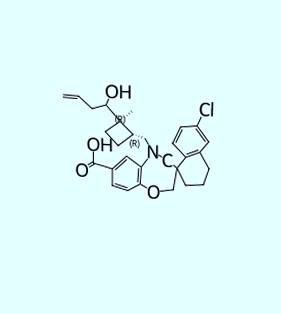 C=CCC(O)[C@]1(C)CC[C@H]1CN1CC2(CCCc3cc(Cl)ccc32)COc2ccc(C(=O)O)cc21